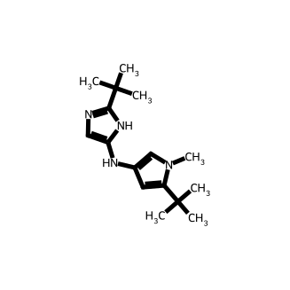 Cn1cc(Nc2cnc(C(C)(C)C)[nH]2)cc1C(C)(C)C